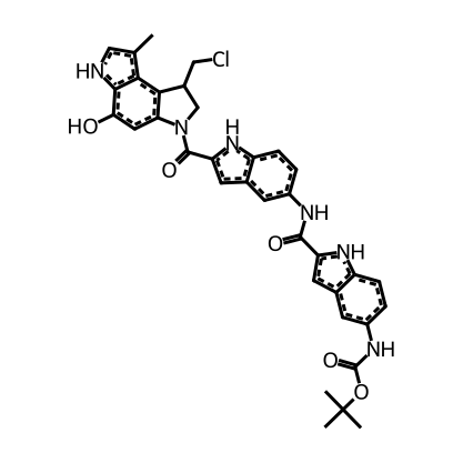 Cc1c[nH]c2c(O)cc3c(c12)C(CCl)CN3C(=O)c1cc2cc(NC(=O)c3cc4cc(NC(=O)OC(C)(C)C)ccc4[nH]3)ccc2[nH]1